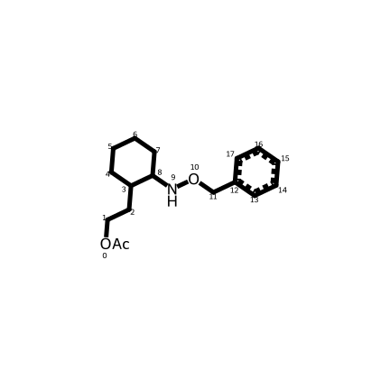 CC(=O)OCCC1CCCCC1NOCc1ccccc1